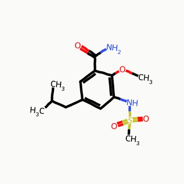 COc1c(NS(C)(=O)=O)cc(CC(C)C)cc1C(N)=O